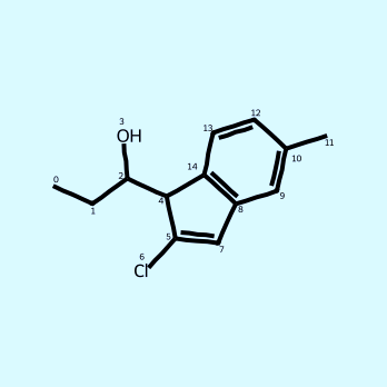 CCC(O)C1C(Cl)=Cc2cc(C)ccc21